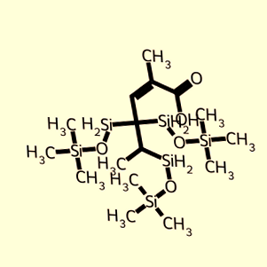 CC(=CC([SiH2]O[Si](C)(C)C)([SiH2]O[Si](C)(C)C)C(C)[SiH2]O[Si](C)(C)C)C(=O)O